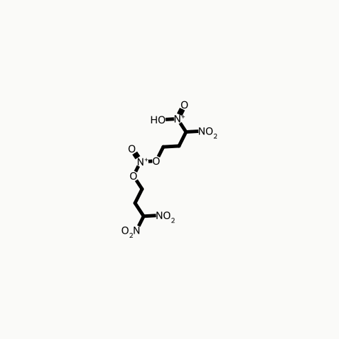 O=[N+](OCCC([N+](=O)[O-])[N+](=O)[O-])OCCC([N+](=O)[O-])[N+](=O)O